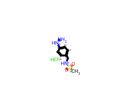 CS(=O)(=O)NCc1ccc(NN)cc1.Cl